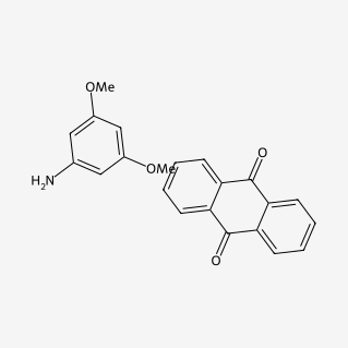 COc1cc(N)cc(OC)c1.O=C1c2ccccc2C(=O)c2ccccc21